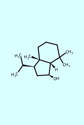 CC(C)[C@@H]1C[C@H](O)[C@H]2C(C)(C)CCC[C@@]12C